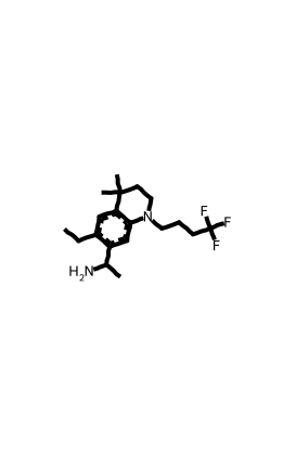 CCc1cc2c(cc1C(C)N)N(CCCC(F)(F)F)CCC2(C)C